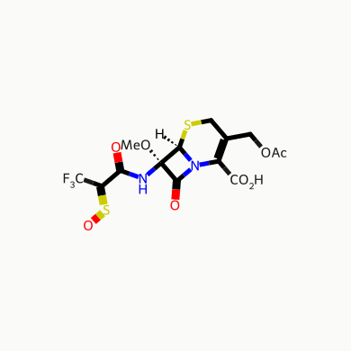 CO[C@@]1(NC(=O)C(=S=O)C(F)(F)F)C(=O)N2C(C(=O)O)=C(COC(C)=O)CS[C@@H]21